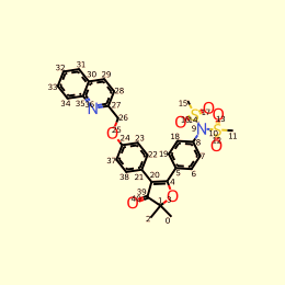 CC1(C)OC(c2ccc(N(S(C)(=O)=O)S(C)(=O)=O)cc2)=C(c2ccc(OCc3ccc4ccccc4n3)cc2)C1=O